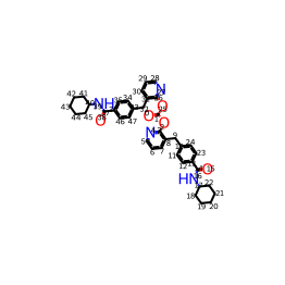 O=C(Oc1ncccc1Cc1ccc(C(=O)NC2CCCCC2)cc1)Oc1ncccc1Cc1ccc(C(=O)NC2CCCCC2)cc1